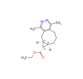 CCOC(=O)[C@H]1[C@@H]2CCCc3c(C)nnc(C)c3C[C@@H]21